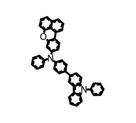 c1ccc(N(c2ccc(-c3ccc4c(c3)c3ccccc3n4-c3ccccc3)cc2)c2ccc3c(c2)Oc2cccc4cccc-3c24)cc1